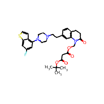 CC(C)(C)OC(=O)CC(=O)OCN1C(=O)CCc2ccc(CCN3CCN(c4cc(F)cc5sccc45)CC3)cc21